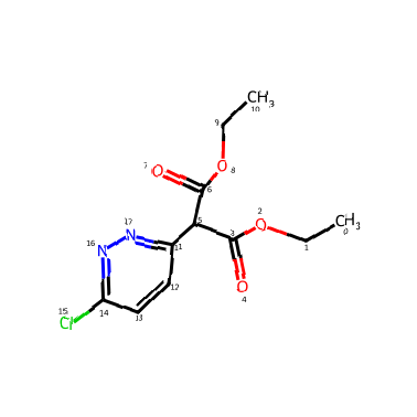 CCOC(=O)C(C(=O)OCC)c1ccc(Cl)nn1